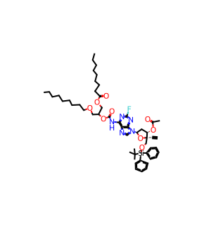 C#C[C@]1(CO[Si](c2ccccc2)(c2ccccc2)C(C)(C)C)O[C@@H](n2cnc3c(NC(=O)OC(COCCCCCCCCC)COC(=O)CCCCCCCC)nc(F)nc32)C[C@@H]1OC(C)=O